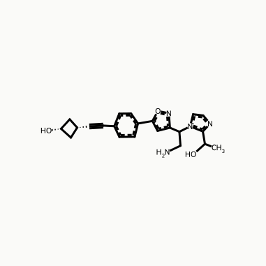 CC(O)c1nccn1C(CN)c1cc(-c2ccc(C#C[C@H]3C[C@@H](O)C3)cc2)on1